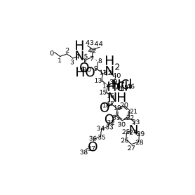 CCCCNC(=O)[C@@H](C[C@H](O)[C@@H](N)C[C@H](CNC(=O)c1ccc(CN2CCCCC2)cc1OCCCCOC)C(C)C)C(C)C.Cl.Cl